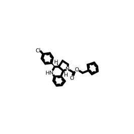 O=C(OCc1ccccc1)N1CC[C@@H]2[C@H](c3ccc(Cl)cc3)Nc3ccccc3[C@@H]21